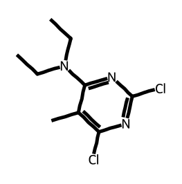 CCN(CC)c1nc(Cl)nc(Cl)c1C